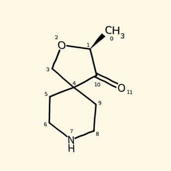 C[C@@H]1OCC2(CCNCC2)C1=O